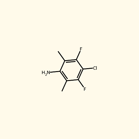 Cc1c(N)c(C)c(F)c(Cl)c1F